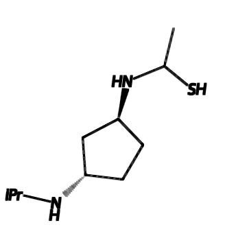 CC(C)N[C@H]1CC[C@H](NC(C)S)C1